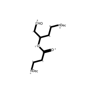 CCCCCCCCCCCCC(=O)OC(CC=O)CCCCCCCCCCCC